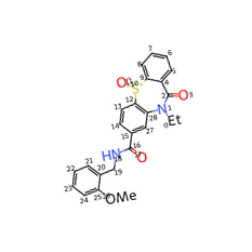 CCN1C(=O)c2ccccc2[S+]([O-])c2ccc(C(=O)NCc3ccccc3OC)cc21